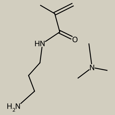 C=C(C)C(=O)NCCCN.CN(C)C